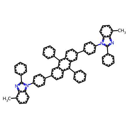 Cc1cccc2c1nc(-c1ccccc1)n2-c1ccc(-c2ccc3c(-c4ccccc4)c4cc(-c5ccc(-n6c(-c7ccccc7)nc7c(C)cccc76)cc5)ccc4c(-c4ccccc4)c3c2)cc1